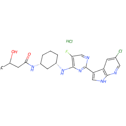 CC(O)CC(=O)N[C@@H]1CCC[C@H](Nc2nc(-c3c[nH]c4ncc(Cl)cc34)ncc2F)C1.Cl